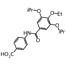 CCOc1c(OC(C)C)cc(C(=O)Nc2ccc(C(=O)O)cc2)cc1OC(C)C